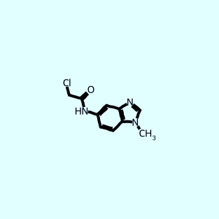 Cn1cnc2cc(NC(=O)CCl)ccc21